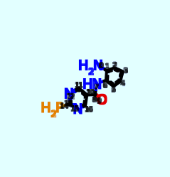 Nc1ccccc1NC(=O)c1cnc(P)nc1